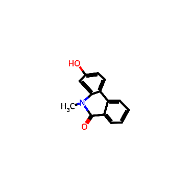 Cn1c(=O)c2ccccc2c2ccc(O)cc21